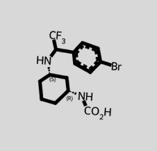 O=C(O)N[C@@H]1CCC[C@H](NC(c2ccc(Br)cc2)C(F)(F)F)C1